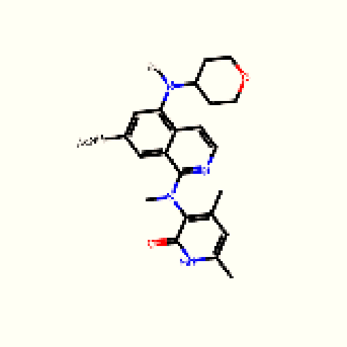 CCN(c1cc(NC(C)=O)cc2c(N(C)c3c(C)cc(C)[nH]c3=O)nccc12)C1CCOCC1